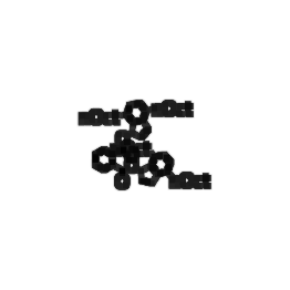 CCCCCCCCc1ccc(CCCCCCCC)c2c1C=CC2OC(=O)c1ccccc1C(=O)OC1C=Cc2c(CCCCCCCC)ccc(CCCCCCCC)c21